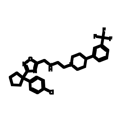 FC(F)(F)c1cccc(C2CCN(CCNCc3nc(C4(c5ccc(Cl)cc5)CCCC4)no3)CC2)c1